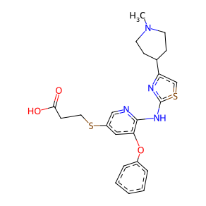 CN1CCC(c2csc(Nc3ncc(SCCC(=O)O)cc3Oc3ccccc3)n2)CC1